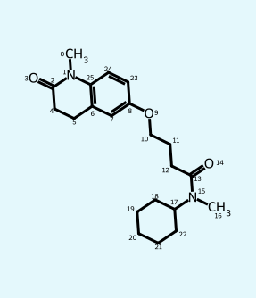 CN1C(=O)CCc2cc(OCCCC(=O)N(C)C3CCCCC3)ccc21